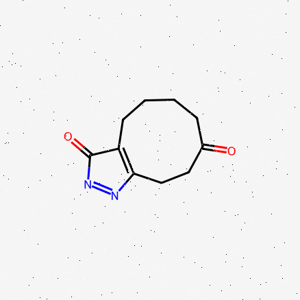 O=C1CCCCC2=C(CC1)N=NC2=O